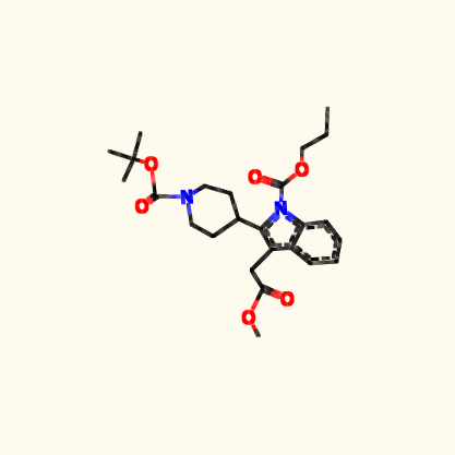 CCCOC(=O)n1c(C2CCN(C(=O)OC(C)(C)C)CC2)c(CC(=O)OC)c2ccccc21